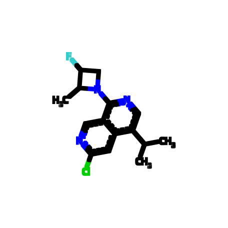 CC(C)c1cnc(N2CC(F)C2C)c2cnc(Cl)cc12